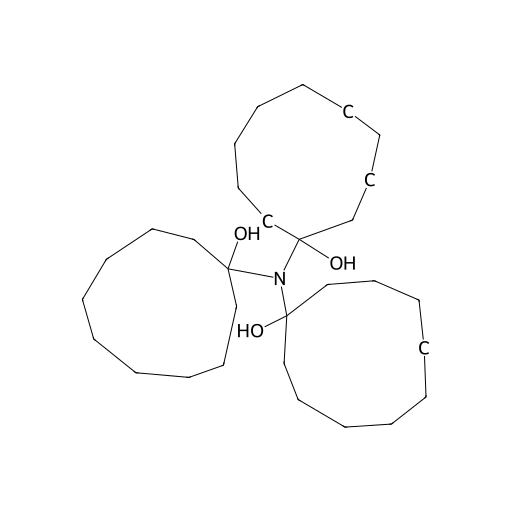 OC1(N(C2(O)CCCCCCCCC2)C2(O)CCCCCCCCC2)CCCCCCCCC1